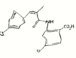 CC(=Cc1ccc(Cl)cc1)C(=O)Nc1cc(Cl)ccc1C(=O)O